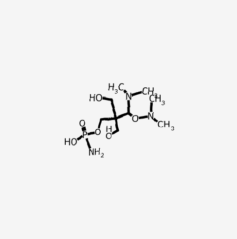 CN(C)OC(N(C)C)C(CO)(CO)COP(N)(=O)O